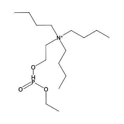 CCCC[N+](CCCC)(CCCC)CCO[PH](=O)OCC